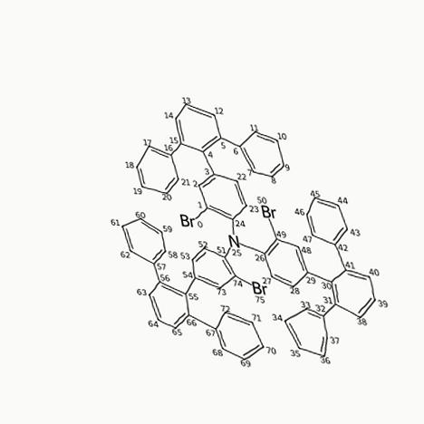 Brc1cc(-c2c(-c3ccccc3)cccc2-c2ccccc2)ccc1N(c1ccc(-c2c(-c3ccccc3)cccc2-c2ccccc2)cc1Br)c1ccc(-c2c(-c3ccccc3)cccc2-c2ccccc2)cc1Br